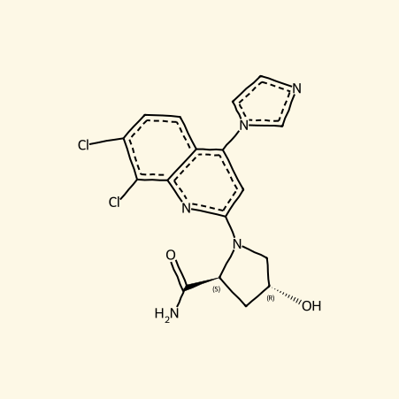 NC(=O)[C@@H]1C[C@@H](O)CN1c1cc(-n2ccnc2)c2ccc(Cl)c(Cl)c2n1